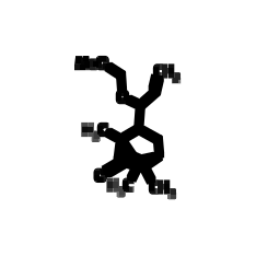 C=CC(OCOC)C1CC2CCC1(C)C(=O)C2(C)C